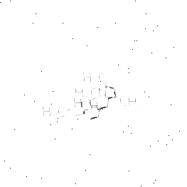 C=C(/C=C\C(C)=C\c1c(C)cc(C)n1C)CCC